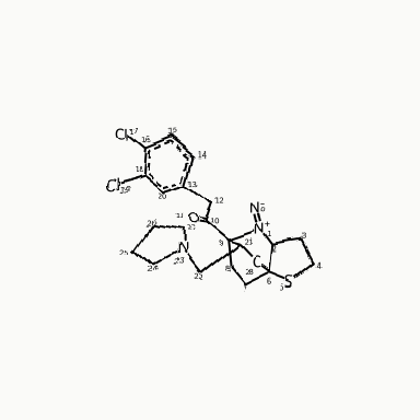 [N-]=[N+]1C2CCSC23CCC1(C(=O)Cc1ccc(Cl)c(Cl)c1)C(CN1CCCC1)C3